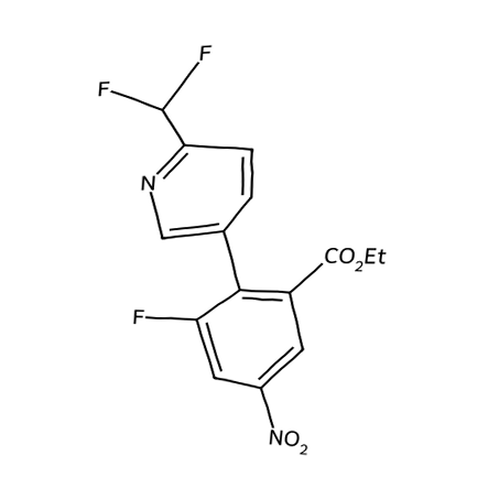 CCOC(=O)c1cc([N+](=O)[O-])cc(F)c1-c1ccc(C(F)F)nc1